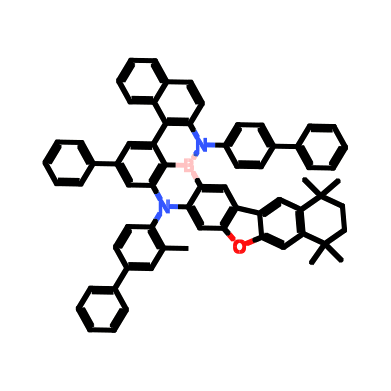 Cc1cc(-c2ccccc2)ccc1N1c2cc3oc4cc5c(cc4c3cc2B2c3c(cc(-c4ccccc4)cc31)-c1c(ccc3ccccc13)N2c1ccc(-c2ccccc2)cc1)C(C)(C)CCC5(C)C